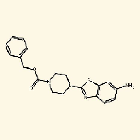 Nc1ccc2nc(N3CCN(C(=O)OCc4ccccc4)CC3)sc2c1